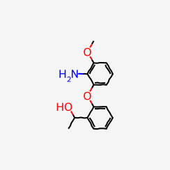 COc1cccc(Oc2ccccc2C(C)O)c1N